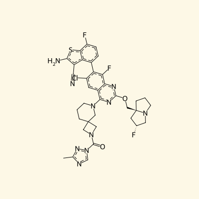 Cc1ncn(C(=O)N2CC3(CCCN(c4nc(OC[C@@]56CCCN5C[C@H](F)C6)nc5c(F)c(-c6ccc(F)c7sc(N)c(C#N)c67)c(Cl)cc45)C3)C2)n1